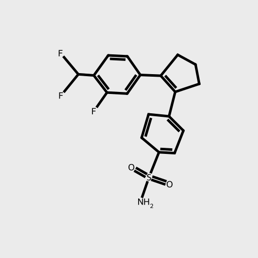 NS(=O)(=O)c1ccc(C2=C(c3ccc(C(F)F)c(F)c3)CCC2)cc1